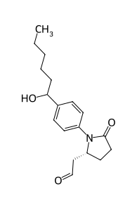 CCCCCC(O)c1ccc(N2C(=O)CC[C@@H]2CC=O)cc1